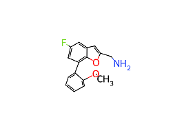 COc1ccccc1-c1cc(F)cc2cc(CN)oc12